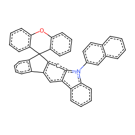 c1ccc2c(c1)Oc1ccccc1C21c2ccccc2-c2cc3c4ccccc4n(-c4ccc5ccccc5c4)c3cc21